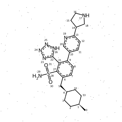 C[C@H]1CC[C@@H](Cc2ccc(-c3ccc(C4CCNC4)nc3)c(-c3nnn[nH]3)c2S(N)(=O)=O)CC1